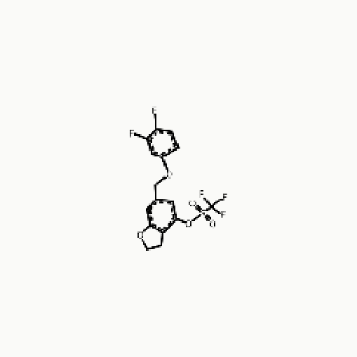 O=S(=O)(Oc1cc(COc2ccc(F)c(F)c2)cc2c1CCO2)C(F)(F)F